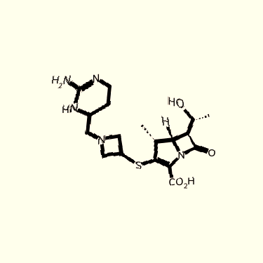 C[C@@H](O)[C@H]1C(=O)N2C(C(=O)O)=C(SC3CN(CC4CCN=C(N)N4)C3)[C@H](C)[C@H]12